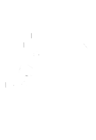 C/C=C/CCC1CCC(C(OCc2ccc(OC(F)(F)F)cc2)C(F)F)CC1